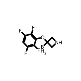 BC1(Oc2c(F)c(F)cc(F)c2F)CNC1